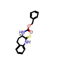 O=C(N[C@@H]1CCc2ccccc2NC1=S)OCc1ccccc1